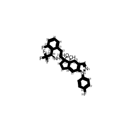 C[C@]12Cc3cnn(-c4ccc(F)cc4)c3C=C1CC[C@@]2(O)CCc1cccc(F)c1[C@@H](N)C(F)(F)F